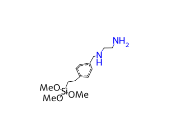 CO[Si](CCc1ccc(CNCCN)cc1)(OC)OC